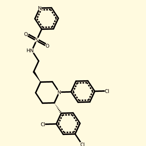 O=S(=O)(NCC[C@@H]1CC[C@@H](c2ccc(Cl)cc2Cl)N(c2ccc(Cl)cc2)C1)c1cccnc1